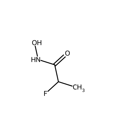 CC(F)C(=O)NO